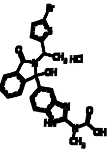 CC(c1ccc(Br)s1)N1C(=O)c2ccccc2C1(O)c1ccc2[nH]c(N(C)C(=O)O)nc2c1.Cl